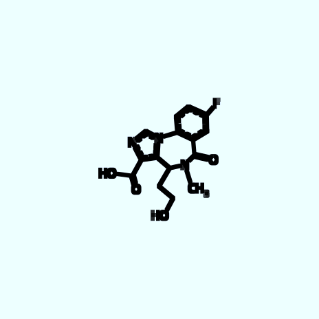 CN1C(=O)c2cc(F)ccc2-n2cnc(C(=O)O)c2C1CCO